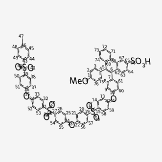 COc1ccc(/C(=C(\c2ccc(Oc3ccc(S(=O)(=O)c4ccc(Oc5ccc(S(=O)(=O)c6ccc(Oc7ccc(S(=O)(=O)c8ccc(C)cc8)cc7)cc6)cc5)cc4)cc3)cc2)c2ccc(S(=O)(=O)O)cc2)c2ccccc2)cc1